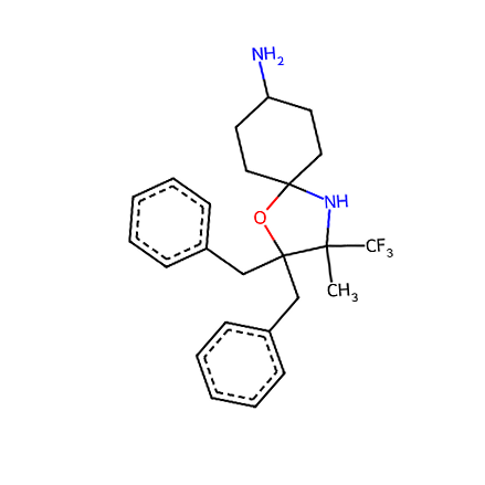 CC1(C(F)(F)F)NC2(CCC(N)CC2)OC1(Cc1ccccc1)Cc1ccccc1